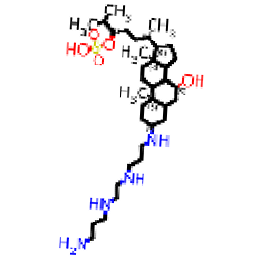 CC(C)[C@@H](CC[C@H](C)[C@H]1CCC2C3C(CC[C@@]21C)[C@@]1(C)CC[C@H](NCCCNCCNCCCN)CC1C[C@@H]3O)OS(=O)(=O)O